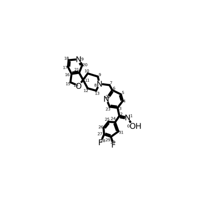 ON=C(c1ccc(CN2CCC3(CC2)OCc2ccncc23)nc1)c1ccc(F)c(F)c1